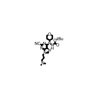 CN(C)CCCn1cnc2c(N(NC(=O)OC(C)(C)C)C3CCOCC3)nc(C#N)nc21